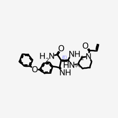 C=CC(=O)N1CCC[C@@H](N/C(N)=C(\C(=N)c2ccc(Oc3ccccc3)cc2)C(N)=O)C1